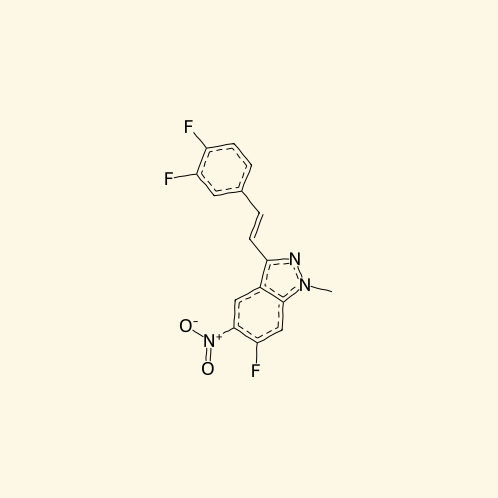 Cn1nc(/C=C/c2ccc(F)c(F)c2)c2cc([N+](=O)[O-])c(F)cc21